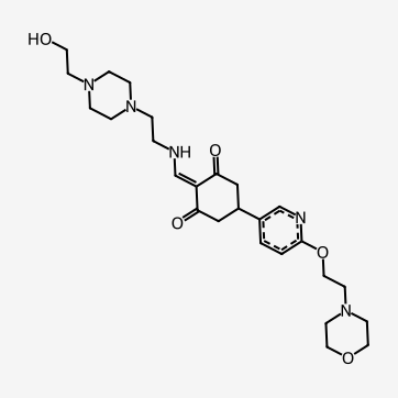 O=C1CC(c2ccc(OCCN3CCOCC3)nc2)CC(=O)C1=CNCCN1CCN(CCO)CC1